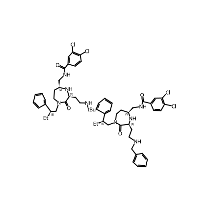 CC[C@H](CN1CC[C@@H](CNC(=O)c2ccc(Cl)c(Cl)c2)N[C@@H](CCNC(C)(C)C)C1=O)c1ccccc1.CC[C@H](CN1CC[C@@H](CNC(=O)c2ccc(Cl)c(Cl)c2)N[C@@H](CCNCc2ccccc2)C1=O)c1ccccc1